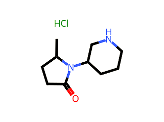 CC1CCC(=O)N1C1CCCNC1.Cl